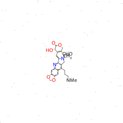 CNCCCc1c2c(nc3cc4c(cc13)OCO4)/C(=C/C1=C(C=O)COC(=O)[C@H]1O)N(C)C2